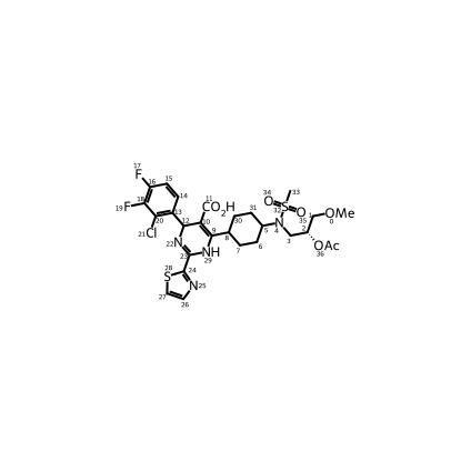 COC[C@@H](CN(C1CCC(C2=C(C(=O)O)C(c3ccc(F)c(F)c3Cl)N=C(c3nccs3)N2)CC1)S(C)(=O)=O)OC(C)=O